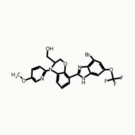 COc1ccc(N2c3cccc(-c4nc5c(Br)cc(OC(F)(F)F)cc5[nH]4)c3OCC2CO)nc1